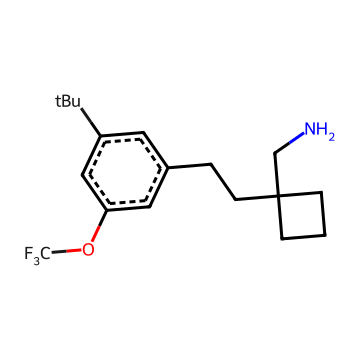 CC(C)(C)c1cc(CCC2(CN)CCC2)cc(OC(F)(F)F)c1